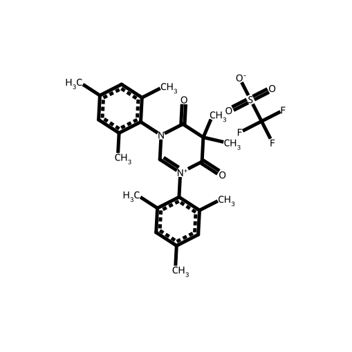 Cc1cc(C)c(N2C=[N+](c3c(C)cc(C)cc3C)C(=O)C(C)(C)C2=O)c(C)c1.O=S(=O)([O-])C(F)(F)F